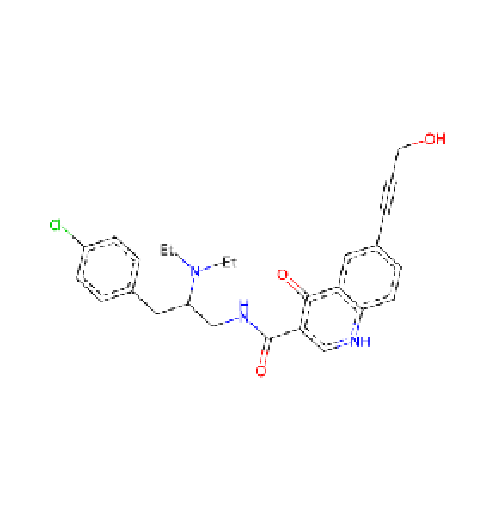 CCN(CC)C(CNC(=O)c1c[nH]c2ccc(C#CCO)cc2c1=O)Cc1ccc(Cl)cc1